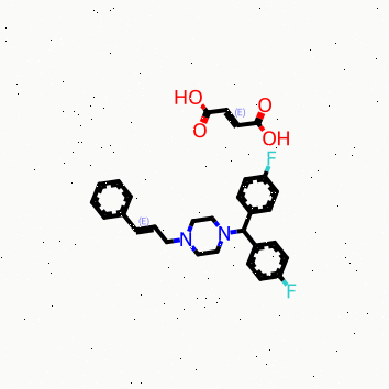 Fc1ccc(C(c2ccc(F)cc2)N2CCN(C/C=C/c3ccccc3)CC2)cc1.O=C(O)/C=C/C(=O)O